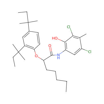 CCCCCC(Oc1ccc(C(C)(C)CC)cc1C(C)(C)CC)C(=O)Nc1cc(Cl)c(C)c(Cl)c1O